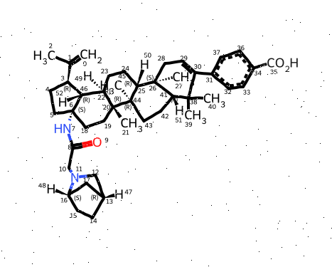 C=C(C)[C@@H]1CC[C@]2(NC(=O)CN3C[C@@H]4CC[C@H]3C4)CC[C@]3(C)[C@H](CC[C@@H]4[C@@]5(C)CC=C(c6ccc(C(=O)O)cc6)C(C)(C)[C@@H]5CC[C@]43C)[C@@H]12